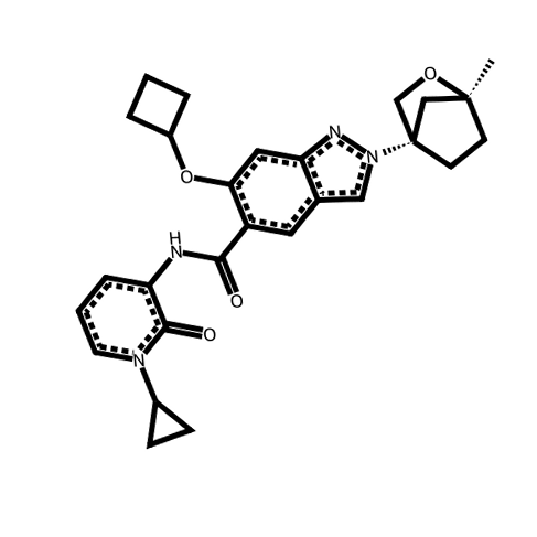 C[C@@]12CC[C@@](n3cc4cc(C(=O)Nc5cccn(C6CC6)c5=O)c(OC5CCC5)cc4n3)(CO1)C2